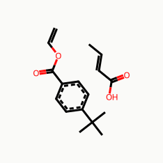 C/C=C/C(=O)O.C=COC(=O)c1ccc(C(C)(C)C)cc1